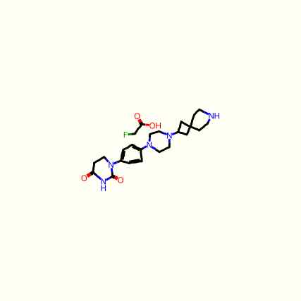 O=C(O)CF.O=C1CCN(c2ccc(N3CCN(C4CC5(CCNCC5)C4)CC3)cc2)C(=O)N1